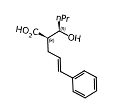 CCC[C@@H](O)[C@@H](CC=Cc1ccccc1)C(=O)O